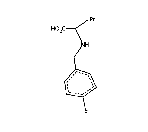 CC(C)C(NCc1ccc(F)cc1)C(=O)O